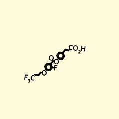 O=C(O)C=Cc1ccc(OC(=O)c2ccc(OCCCC(F)(F)F)cc2F)cc1